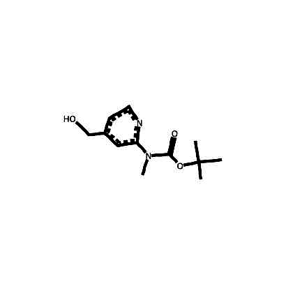 CN(C(=O)OC(C)(C)C)c1cc(CO)ccn1